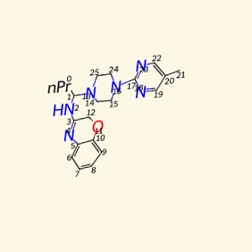 CCCC(NC1=Nc2ccccc2OC1)N1CCN(c2ncc(C)cn2)CC1